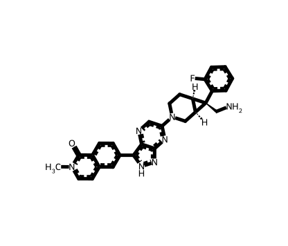 Cn1ccc2cc(-c3[nH]nc4nc(N5CC[C@@H]6[C@H](C5)[C@@]6(CN)c5ccccc5F)cnc34)ccc2c1=O